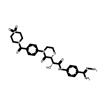 NN=C(N)c1ccc(NC(=O)[C@H](O)[C@H]2OCCN(c3ccc(C(=O)N4CCS(=O)(=O)CC4)cc3)C2=O)cc1